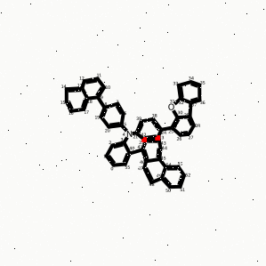 c1ccc(N(c2ccc(-c3cccc4ccccc34)cc2)c2ccc(-c3cccc4c3oc3ccccc34)cc2)c(-c2cccc3c2ccc2ccccc23)c1